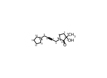 CC1(O)CCN(CC#CCN2CCCC2)C1=O